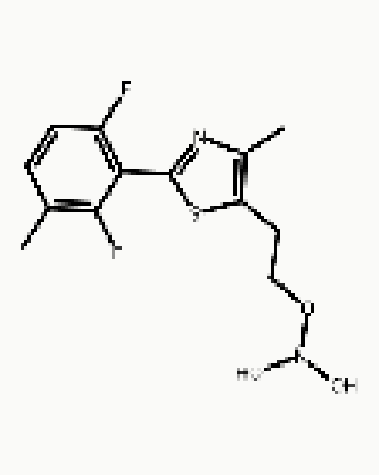 Cc1ccc(F)c(-c2nc(C)c(CCON(O)O)s2)c1F